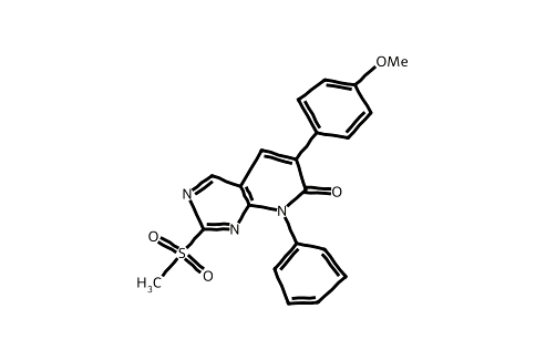 COc1ccc(-c2cc3cnc(S(C)(=O)=O)nc3n(-c3ccccc3)c2=O)cc1